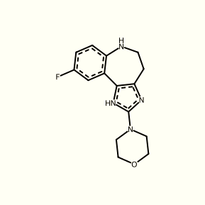 Fc1ccc2c(c1)-c1[nH]c(N3CCOCC3)nc1CCN2